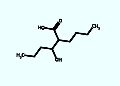 CCCCC(C(=O)O)C(O)CCC